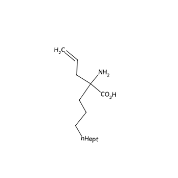 C=CCC(N)(CCCCCCCCCC)C(=O)O